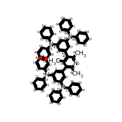 Cc1nc(C)c(-c2cc(N(c3ccccc3)c3ccccc3)cc(N(c3ccccc3)c3ccccc3)c2)c(C)c1-c1cc(N(c2ccccc2)c2ccccc2)cc(N(c2ccccc2)c2ccccc2)c1